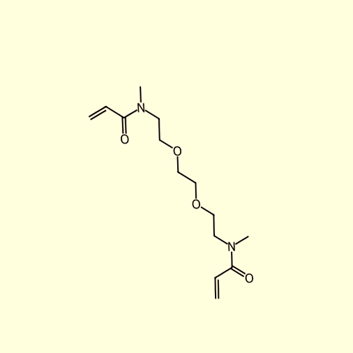 C=CC(=O)N(C)CCOCCOCCN(C)C(=O)C=C